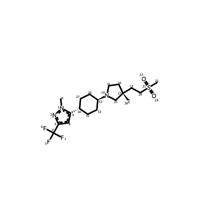 Cn1nc(C(F)(F)F)cc1[C@H]1CC[C@H](N2CC[C@](I)(CCS(C)(=O)=O)C2)CC1